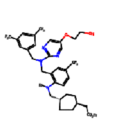 CCOC(=O)C[C@H]1CC[C@H](CN(CC)c2ccc(C(F)(F)F)cc2CN(Cc2cc(C(F)(F)F)cc(C(F)(F)F)c2)c2ncc(OCCO)cn2)CC1